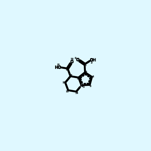 O=C(O)c1ccn2c1C(C(=O)O)CCC2